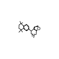 CN1Cc2occc2C(c2ccc3c(c2)C(C)(C)CCC3(C)C)C1